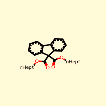 CCCCCCCOC(=O)C1(C(=O)OCCCCCCC)c2ccccc2-c2ccccc21